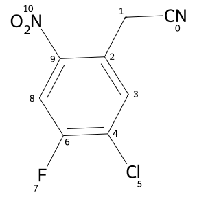 N#CCc1cc(Cl)c(F)cc1[N+](=O)[O-]